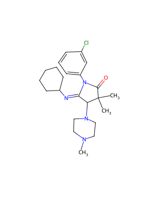 CN1CCN(C2C(=NC3CCCCC3)N(c3cccc(Cl)c3)C(=O)C2(C)C)CC1